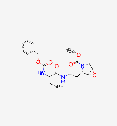 CC(C)CC(NC(=O)OCc1ccccc1)C(=O)NCC[C@@H]1C2OC2CN1C(=O)OC(C)(C)C